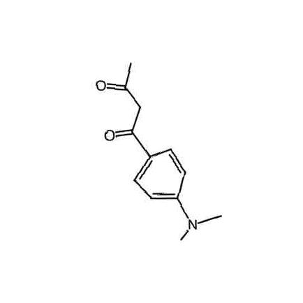 CC(=O)CC(=O)c1ccc(N(C)C)cc1